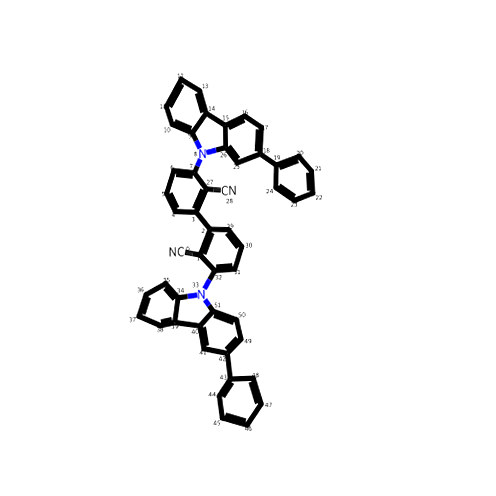 N#Cc1c(-c2cccc(-n3c4ccccc4c4ccc(-c5ccccc5)cc43)c2C#N)cccc1-n1c2ccccc2c2cc(-c3ccccc3)ccc21